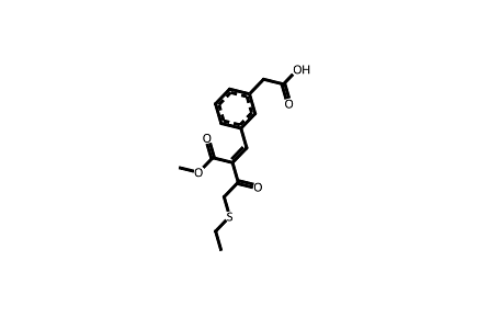 CCSCC(=O)C(=Cc1cccc(CC(=O)O)c1)C(=O)OC